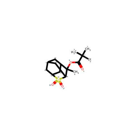 CCC(C)(C)C(=O)OC1(C)C2CC3CC(C2)S(=O)(=O)C1C3